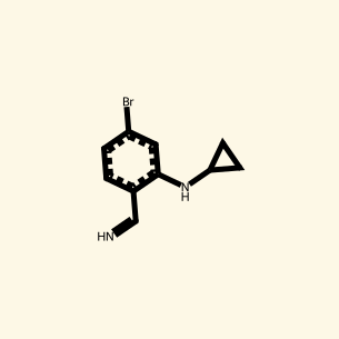 N=Cc1ccc(Br)cc1NC1CC1